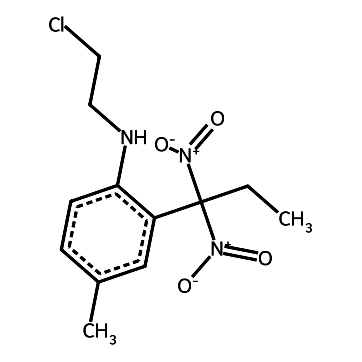 CCC(c1cc(C)ccc1NCCCl)([N+](=O)[O-])[N+](=O)[O-]